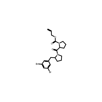 C=CCOC(=O)N1CCCC1C(=O)N1CCCC1Cc1cc(Br)cc(Br)c1